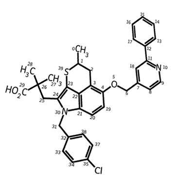 CC1Cc2c(OCc3ccnc(-c4ccccc4)c3)ccc3c2c(c(CC(C)(C)C(=O)O)n3Cc2ccc(Cl)cc2)S1